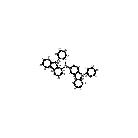 CN(c1ccc2c(c1)c1ccccc1n2-c1ccccc1)c1cccc2c3ccccc3n(-c3ccccc3)c12